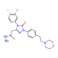 CC(C)(C)NC(=O)Cc1nn(-c2ccc(CCN3CCOCC3)cc2)c(=O)n1-c1ccc(F)c(Cl)c1